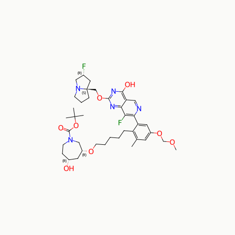 COCOc1cc(C)c(CCCCCO[C@@H]2C[C@H](O)CCN(C(=O)OC(C)(C)C)C2)c(-c2ncc3c(O)nc(OC[C@@]45CCCN4C[C@H](F)C5)nc3c2F)c1